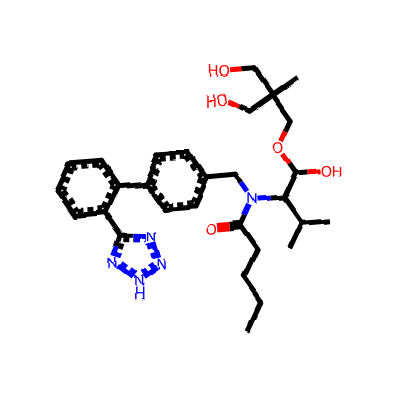 CCCCC(=O)N(Cc1ccc(-c2ccccc2-c2nn[nH]n2)cc1)C(C(C)C)C(O)OCC(C)(CO)CO